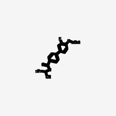 CCCCCCCCOc1ccc(-c2ccc(C(=O)OC(C#N)CCC)cc2)cc1F